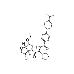 CCO[C@H]1CN(C(=O)[C@@H](NC(=O)c2ccc(C3CCN(C(C)C)CC3)cc2)C2CCCC2)[C@@H]2C(=O)CO[C@H]12